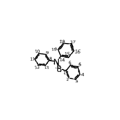 [B](c1ccccc1)N(c1ccccc1)c1ccccc1